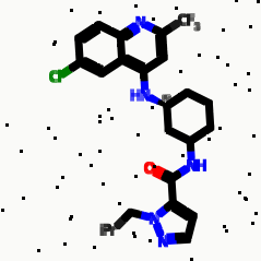 CC(C)Cn1nccc1C(=O)NC1CCC[C@H](Nc2cc(C(F)(F)F)nc3ccc(Cl)cc23)C1